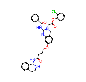 O=C(CCCOc1ccc2c(c1)N=C(NC(=O)c1ccccc1)N(CC(=O)Oc1ccccc1Cl)C2)NC1NCCc2ccccc21